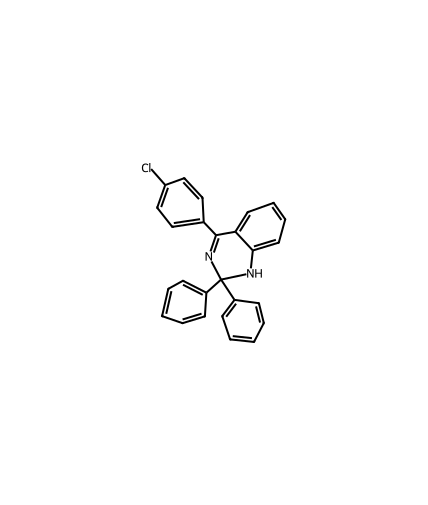 Clc1ccc(C2=NC(c3ccccc3)(c3ccccc3)Nc3ccccc32)cc1